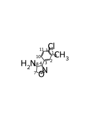 Cc1cc(C2=NOCC2N)ccc1Cl